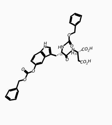 O=C(O)C[C@H](NC(=O)[C@H](Cc1c[nH]c2ccc(OC(=O)OCc3ccccc3)cc12)NC(=O)OCc1ccccc1)C(=O)O